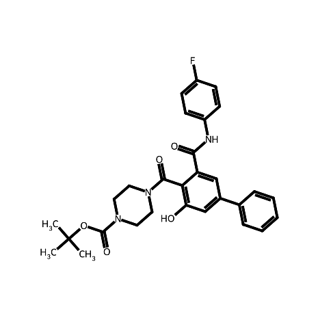 CC(C)(C)OC(=O)N1CCN(C(=O)c2c(O)cc(-c3ccccc3)cc2C(=O)Nc2ccc(F)cc2)CC1